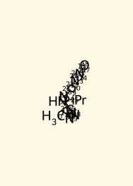 Cc1cc(-c2[nH]nc(-c3ccc(N4CCN(C5COC5)CC4)cc3)c2C(C)C)cn2ncnc12